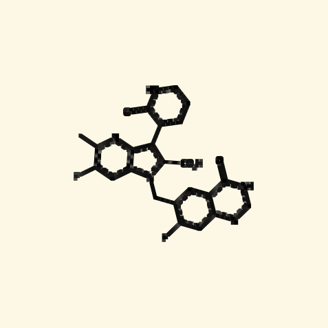 Cc1nc2c(-c3ccc[nH]c3=O)c(C(=O)O)n(Cc3cc4c(=O)[nH]cnc4cc3F)c2cc1F